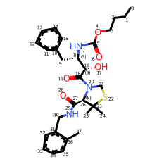 CCCCOC(=O)N[C@@H](Cc1ccccc1)[C@H](O)C(=O)N1CSC(C)(C)[C@H]1C(=O)NCc1ccccc1C